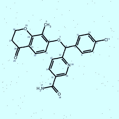 Cc1c(OC(c2ccc(Cl)cc2)c2ccc(C(N)=O)cn2)ccc2c1OCCC2=O